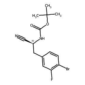 CC(C)(C)OC(=O)N[C@H](C#N)Cc1ccc(Br)c(F)c1